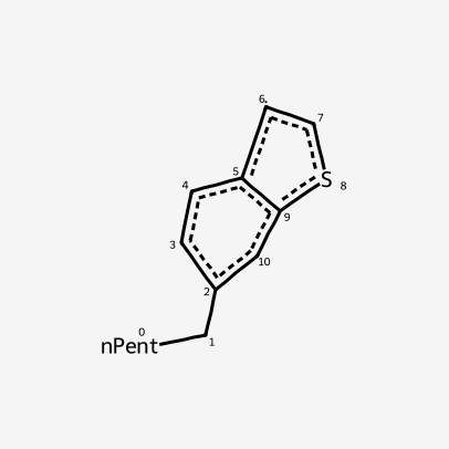 CCCCCCc1ccc2[c]csc2c1